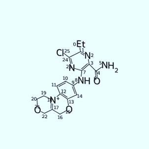 CCc1nc(C(N)=O)c(Nc2ccc3c(c2)OCC2=[N+]3CCOC2)nc1Cl